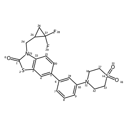 O=c1sc2cc(-c3cccc(N4CCS(=O)(=O)CC4)c3)ccc2n1CC1CC1(F)F